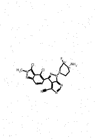 Cn1nc2ccc(-c3nn(N4CC[C@@H](N)[C@H](F)C4)c4ncnc(C#N)c34)c(Cl)c2c1Cl